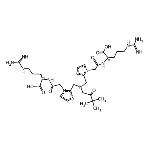 CC(C)(C)C(=O)CN(Cc1nccn1CC(=O)N[C@H](CCCNC(=N)N)C(=O)O)Cc1nccn1CC(=O)N[C@H](CCCNC(=N)N)C(=O)O